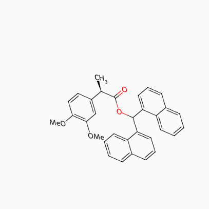 COc1ccc([C@@H](C)C(=O)OC(c2cccc3ccccc23)c2cccc3ccccc23)cc1OC